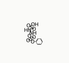 O=S(=O)(O)NNOS(=O)(=O)Oc1ccccc1